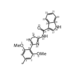 COc1cc(C)cc(OC)c1-c1nsc(NC(=O)c2[c][nH]c3ccccc23)n1